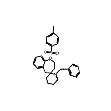 Cc1ccc(S(=O)(=O)N2CCC3(CCCCN3Cc3ccccc3)Cc3ccccc32)cc1